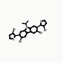 CC(C)n1c2cc(-c3sccc3Br)c(Br)cc2c2cc(Br)c(-c3sccc3Br)cc21